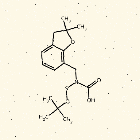 CC(C)(C)OSN(Cc1cccc2c1OC(C)(C)C2)C(=O)O